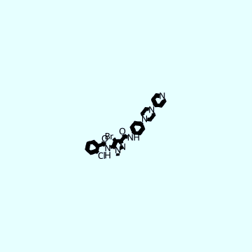 Cn1nc(C(=O)Nc2ccc(N3CCN(c4ccncc4)CC3)cc2)c(Br)c1NC(=O)c1ccccc1Cl